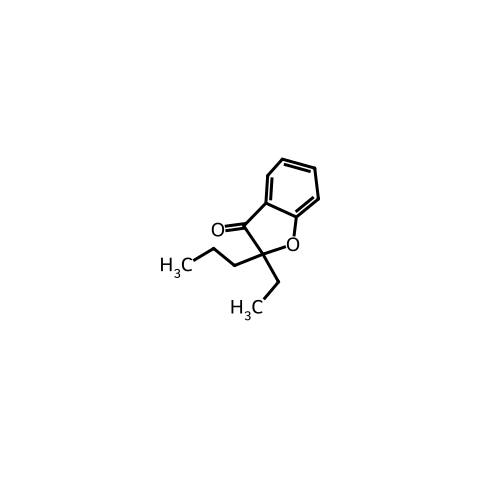 CCCC1(CC)Oc2ccccc2C1=O